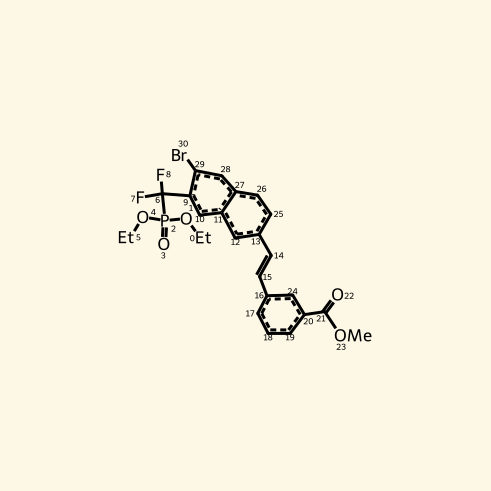 CCOP(=O)(OCC)C(F)(F)c1cc2cc(C=Cc3cccc(C(=O)OC)c3)ccc2cc1Br